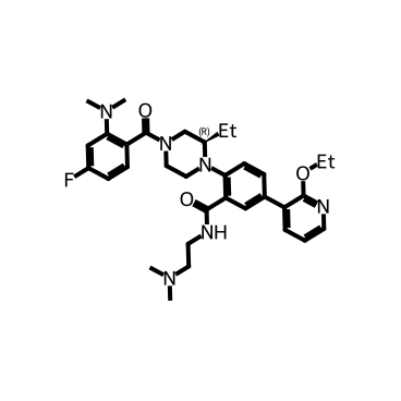 CCOc1ncccc1-c1ccc(N2CCN(C(=O)c3ccc(F)cc3N(C)C)C[C@H]2CC)c(C(=O)NCCN(C)C)c1